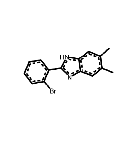 Cc1cc2nc(-c3ccccc3Br)[nH]c2cc1C